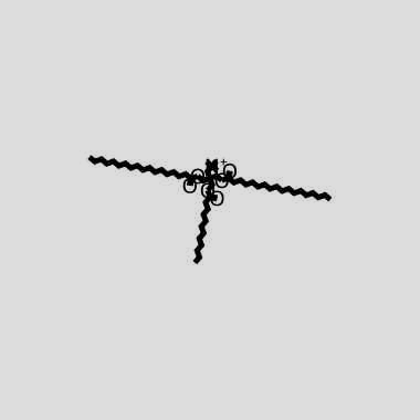 CCCCCCCCCCCCCCCCCC(=O)OCC(COC(=O)CCCCCCCCCCC)(COC(=O)CCCCCCCCCCCCCCCCC)C[N+](C)(C)C